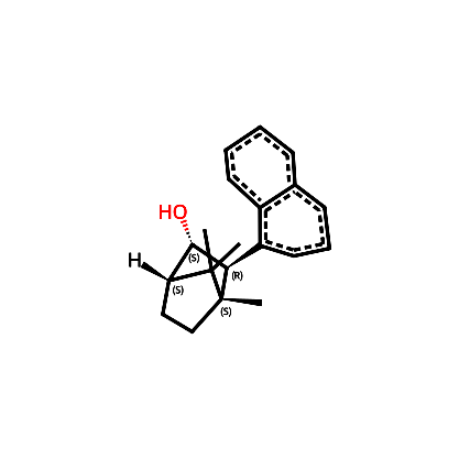 CC1(C)[C@@H]2CC[C@@]1(C)[C@H](c1cccc3ccccc13)[C@H]2O